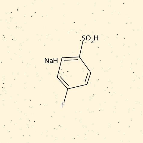 O=S(=O)(O)c1ccc(F)cc1.[NaH]